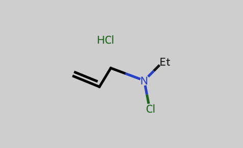 C=CCN(Cl)CC.Cl